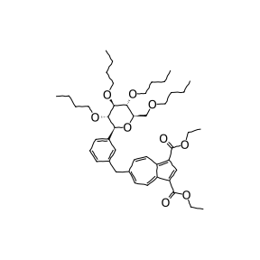 CCCCOC[C@H]1O[C@@H](c2cccc(Cc3ccc4c(C(=O)OCC)cc(C(=O)OCC)c-4cc3)c2)[C@H](OCCCC)[C@@H](OCCCC)[C@@H]1OCCCC